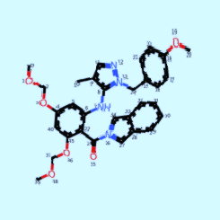 COCOc1cc(Nc2c(C)cnn2Cc2ccc(OC)cc2)c(C(=O)n2cc3ccccc3c2)c(OCOC)c1